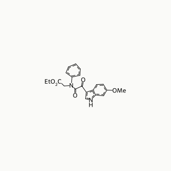 CCOC(=O)CN(C(=O)C(=O)c1c[nH]c2cc(OC)ccc12)c1ccccc1